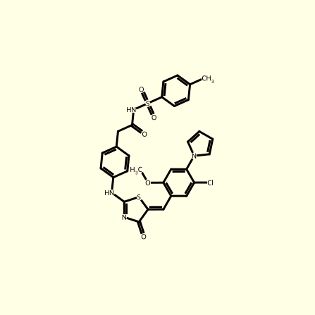 COc1cc(-n2cccc2)c(Cl)cc1/C=C1\SC(Nc2ccc(CC(=O)NS(=O)(=O)c3ccc(C)cc3)cc2)=NC1=O